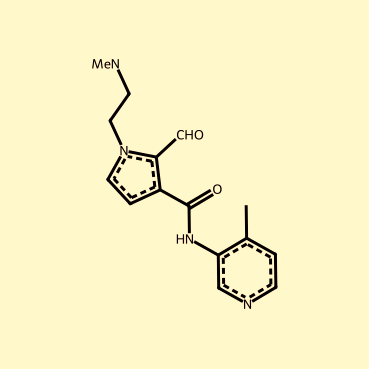 CNCCn1ccc(C(=O)Nc2cnccc2C)c1C=O